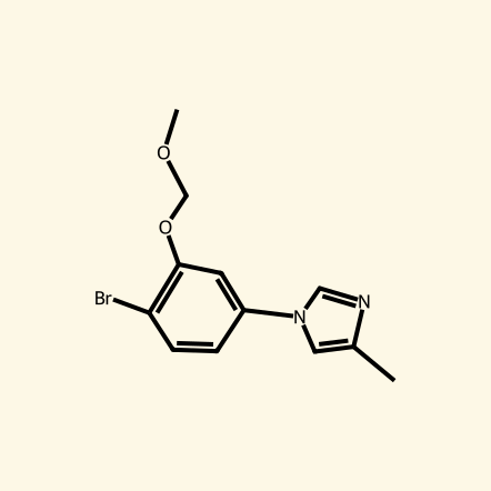 COCOc1cc(-n2cnc(C)c2)ccc1Br